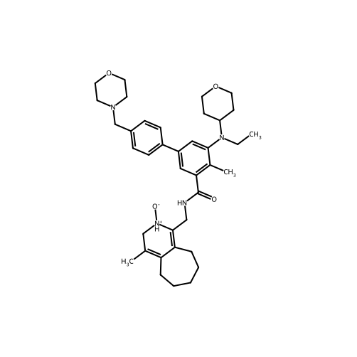 CCN(c1cc(-c2ccc(CN3CCOCC3)cc2)cc(C(=O)NCC2=C3CCCCCC3=C(C)C[NH+]2[O-])c1C)C1CCOCC1